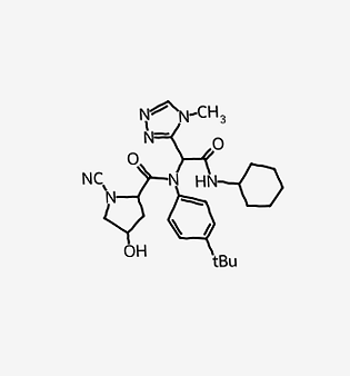 Cn1cnnc1C(C(=O)NC1CCCCC1)N(C(=O)C1CC(O)CN1C#N)c1ccc(C(C)(C)C)cc1